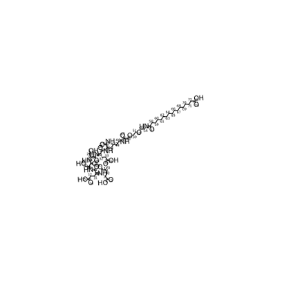 C[C@@H](CCC(=O)O)C(=O)N[C@@H](CCC(=O)O)C(=O)N[C@@H](CO)C(=O)N[C@@H](CO)C(=O)N[C@@H](CCC(=O)O)C(=O)N[C@@H](CCCCNC(=O)COCCOCCNC(=O)CCCCCCCCCCCCCCCC(=O)O)C(N)=O